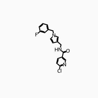 O=C(NCc1ccn(Cc2cccc(F)c2)c1)c1ccc(Cl)nc1